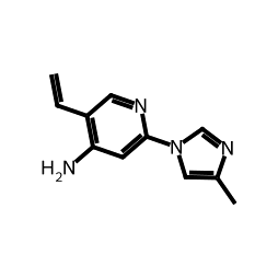 C=Cc1cnc(-n2cnc(C)c2)cc1N